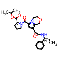 CC[C@@H](NC1OC1c1cc(C(=O)N2CCC[C@@H]2C(=O)OC(C)C)n2c1COCC2)c1ccccc1